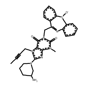 CC#CCn1c(N2CCCC(N)C2)nc2c1c(=O)n(CC1=Nc3ccccc3[S+]([O-])c3ccccc31)c(=O)n2C